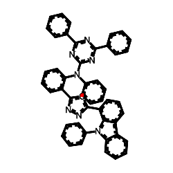 c1ccc(-c2nc(-c3ccccc3)nc(N(c3ccccc3)c3ccccc3-c3nnc(-c4cccc5c6ccccc6n(-c6ccccc6)c45)o3)n2)cc1